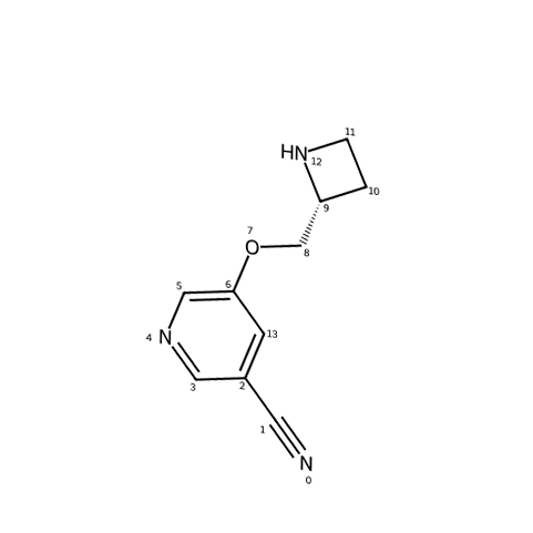 N#Cc1cncc(OC[C@H]2CCN2)c1